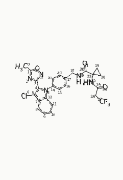 Cc1nc(-c2c(Cl)c3ccccc3n2-c2ccc(CNC(=O)C3(NC(=O)CC(F)(F)F)CC3)cc2)no1